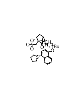 CC(C)(C)Oc1ccc([S+]2CCCC2)c2ccccc12.CC1(C)C2CCC1(CS(=O)(=O)[O-])C(=O)C2